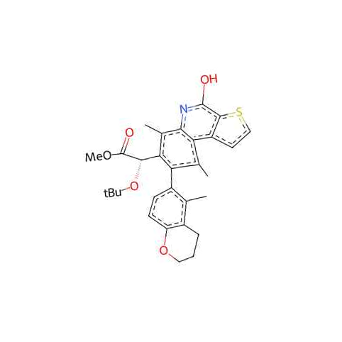 COC(=O)[C@@H](OC(C)(C)C)c1c(-c2ccc3c(c2C)CCCO3)c(C)c2c(nc(O)c3sccc32)c1C